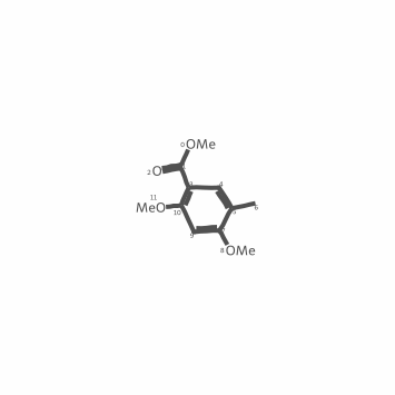 COC(=O)c1cc(C)c(OC)cc1OC